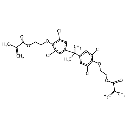 C=C(C)C(=O)OCCOc1c(Cl)cc(C(C)(C)c2cc(Cl)c(OCCOC(=O)C(=C)C)c(Cl)c2)cc1Cl